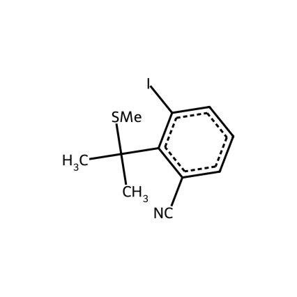 CSC(C)(C)c1c(I)cccc1C#N